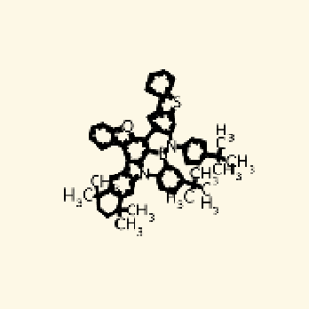 CC(C)(C)c1ccc(N2B3c4cc(C(C)(C)C)ccc4-n4c5cc6c(cc5c5c7c(oc8ccccc87)c(c3c54)-c3cc4c(cc32)sc2ccccc24)C(C)(C)CCC6(C)C)cc1